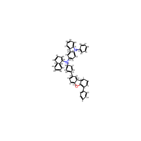 c1ccc(-c2cccc3c2oc2ccc(-c4ccc(N(c5ccc6c(c5)c5ccccc5n6-c5ccccc5)c5cccc6ccccc56)cc4)cc23)cc1